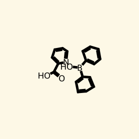 O=C(O)c1ccccn1.OB(c1ccccc1)c1ccccc1